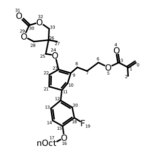 C=C(C)C(=O)OCCCc1cc(-c2ccc(OCCCCCCCC)c(F)c2)ccc1OCC1(C)COC(=O)OC1